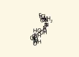 CC(Oc1cc(-c2cnn(C3CCN(C(=O)CCCC(O)C(O)CCCCNc4cccc5c4C(=O)N(C4CCC(=O)NC4=O)C5=O)CC3)c2)cnc1N)c1c(Cl)ccc(F)c1Cl